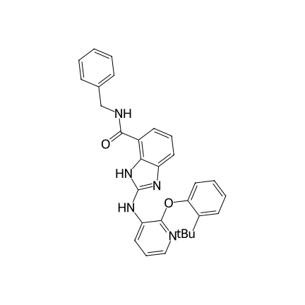 CC(C)(C)c1ccccc1Oc1ncccc1Nc1nc2cccc(C(=O)NCc3ccccc3)c2[nH]1